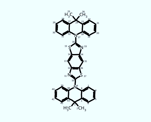 CC1(C)c2ccccc2N(c2nc3cc4sc(N5c6ccccc6C(C)(C)c6ccccc65)nc4cc3s2)c2ccccc21